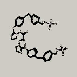 CC(C)S(=O)(=O)NCc1ccc(Cc2ccc(NC3=NCCN3OC(=O)C(=O)ON3CCN=C3Nc3ccc(Cc4ccc(CNS(=O)(=O)C(C)C)cc4)cc3)cc2)cc1